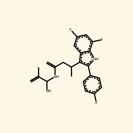 C=C(CC(C)c1c(-c2ccc(F)cc2)[nH]c2c(F)cc(F)cc12)NC(CCC)C(=C)C